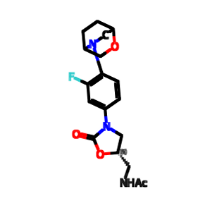 CC(=O)NC[C@H]1CN(c2ccc(N3CC4CCC3CO4)c(F)c2)C(=O)O1